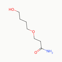 NC(=O)CCOCCCCO